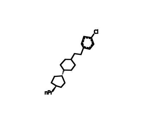 CCC[C@H]1CC[C@H](C2CCC(CCc3ccc(Cl)cc3)CC2)CC1